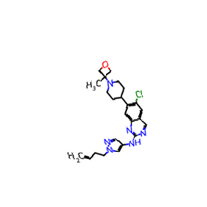 C=CCCn1cc(Nc2ncc3cc(Cl)c(C4CCN(C5(C)COC5)CC4)cc3n2)cn1